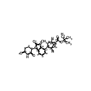 Cn1c(=O)n(C2CCC(=O)NC2=O)c2cccc(N3C[C@H]4C[C@@H]3CN4C(=O)OC(C)(C)C)c21